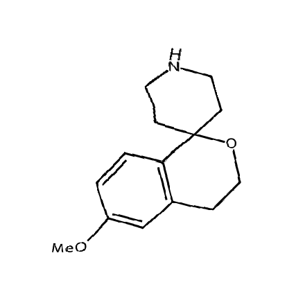 COc1ccc2c(c1)CCOC21CCNCC1